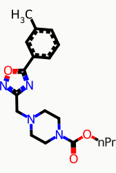 CCCOC(=O)N1CCN(Cc2noc(-c3cccc(C)c3)n2)CC1